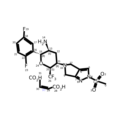 CS(=O)(=O)n1cc2c(n1)CN([C@@H]1C[C@H](N)[C@@H](c3cc(F)ccc3F)O[C@@H]1C(F)(F)F)C2.O=C(O)/C=C\C(=O)O